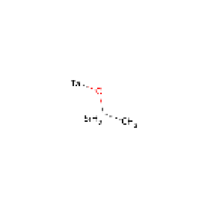 CC[O][Ta].[SrH2]